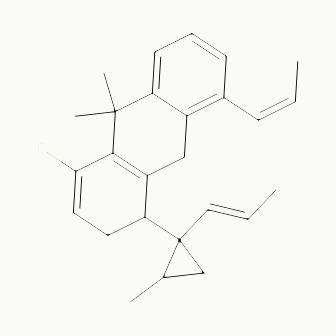 CC=CC1(C2CC=C(F)C3=C2Cc2c(/C=C\C)cccc2C3(C)C)CC1C